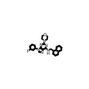 Fc1cccc(-n2cnc3c(NCc4cccc5ccccc45)nc(N4CCOCC4)nc32)c1